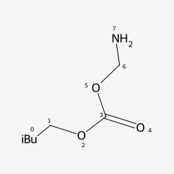 CCC(C)COC(=O)OCN